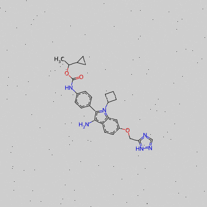 CC(OC(=O)Nc1ccc(-c2c(N)c3ccc(OCc4ncn[nH]4)cc3n2C2CCC2)cc1)C1CC1